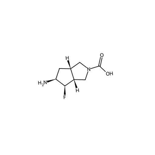 N[C@H]1C[C@@H]2CN(C(=O)O)C[C@@H]2[C@H]1F